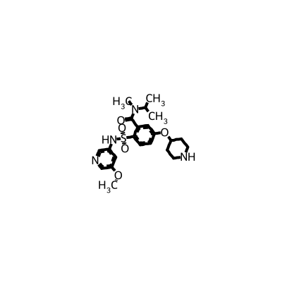 COc1cncc(NS(=O)(=O)c2ccc(OC3CCNCC3)cc2C(=O)N(C)C(C)C)c1